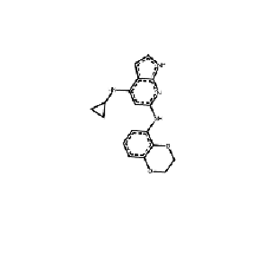 [c]1ccc(Nc2cc(NC3CC3)c3cc[nH]c3n2)c2c1OCCO2